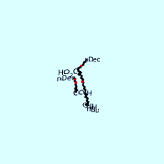 CCCCCCCCCCCCCCCCC(CCCCCCCCCCCCCCCCCC(=O)NCCCC)C(=O)O.CCCCCCCCCCCCCCCCCC(=O)O